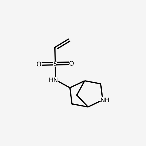 C=CS(=O)(=O)NC1CC2CC1CN2